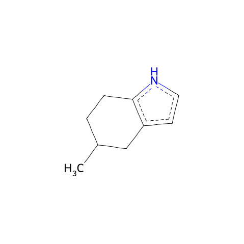 CC1CCc2[nH]ccc2C1